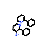 Nc1cccnc1-c1ccccc1.c1ccc(-c2ccccn2)cc1